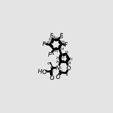 C[C@H](C(=O)O)N1C(=O)COc2ccc(-c3c(F)c(F)c(F)c(F)c3F)cc21